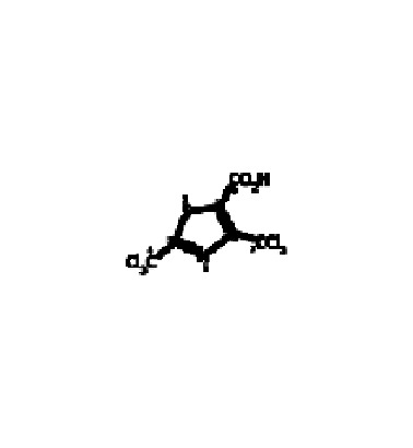 O=C(O)c1sc(C(Cl)(Cl)Cl)nc1C(Cl)(Cl)Cl